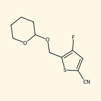 N#Cc1cc(F)c(COC2CCCCO2)s1